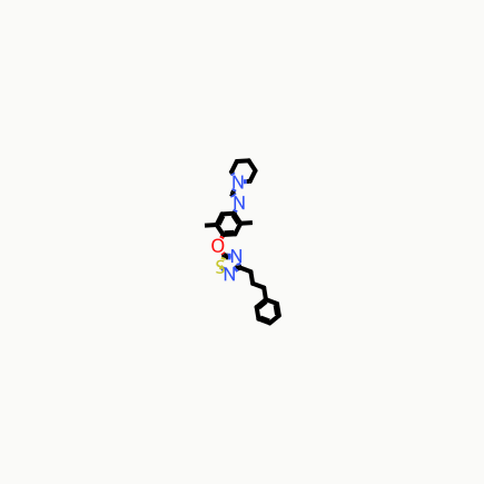 Cc1cc(Oc2nc(CCCc3ccccc3)ns2)c(C)cc1N=CN1CCCCC1